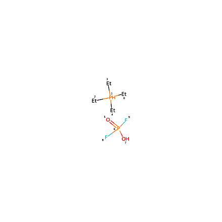 CC[PH](CC)(CC)CC.O=P(O)(F)F